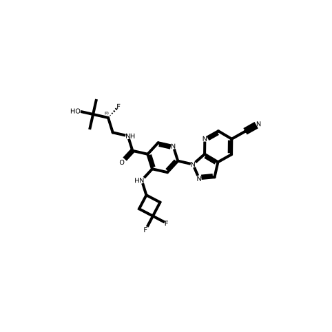 CC(C)(O)[C@H](F)CNC(=O)c1cnc(-n2ncc3cc(C#N)cnc32)cc1NC1CC(F)(F)C1